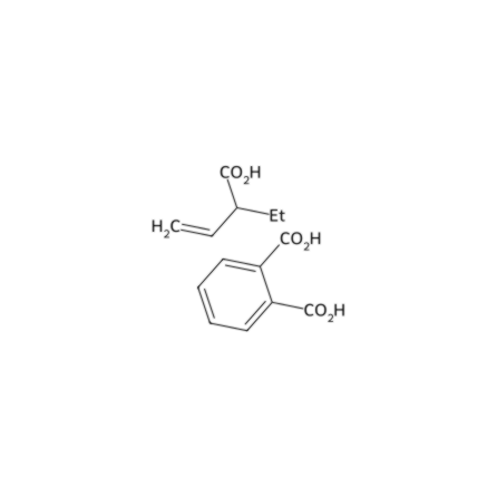 C=CC(CC)C(=O)O.O=C(O)c1ccccc1C(=O)O